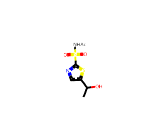 CC(=O)NS(=O)(=O)c1ncc(C(C)O)s1